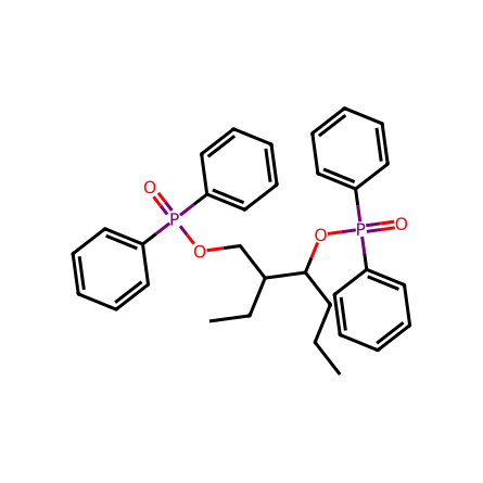 CCCC(OP(=O)(c1ccccc1)c1ccccc1)C(CC)COP(=O)(c1ccccc1)c1ccccc1